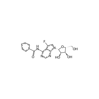 O=C(Nc1ncnc2c1c(F)cn2[C@@H]1O[C@H](CO)[C@@H](O)[C@H]1O)c1ccccc1